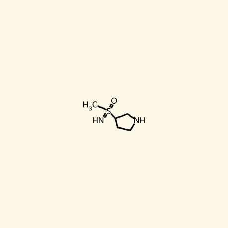 CS(=N)(=O)C1CCNC1